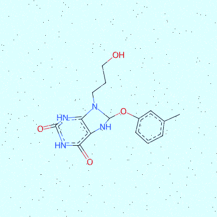 Cc1cccc(OC2Nc3c([nH]c(=O)[nH]c3=O)N2CCCO)c1